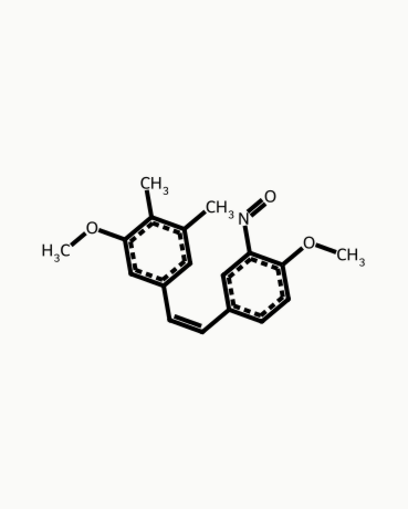 COc1ccc(/C=C\c2cc(C)c(C)c(OC)c2)cc1N=O